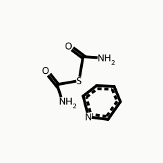 NC(=O)SC(N)=O.c1ccncc1